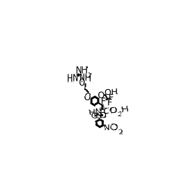 N=C(N)NOCCCOc1ccc(C[C@H](NS(=O)(=O)c2cccc([N+](=O)[O-])c2)C(=O)O)cc1.O=C(O)C(F)(F)F